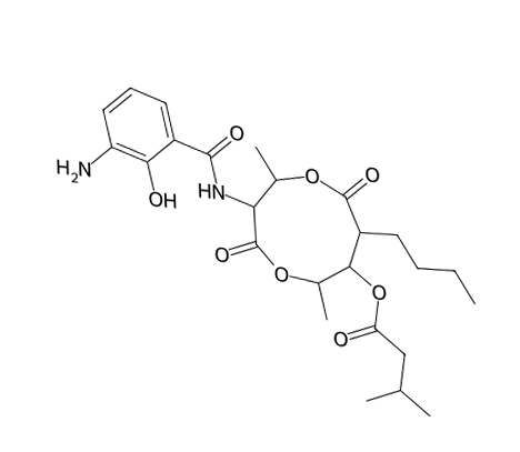 CCCCC1C(=O)OC(C)C(NC(=O)c2cccc(N)c2O)C(=O)OC(C)C1OC(=O)CC(C)C